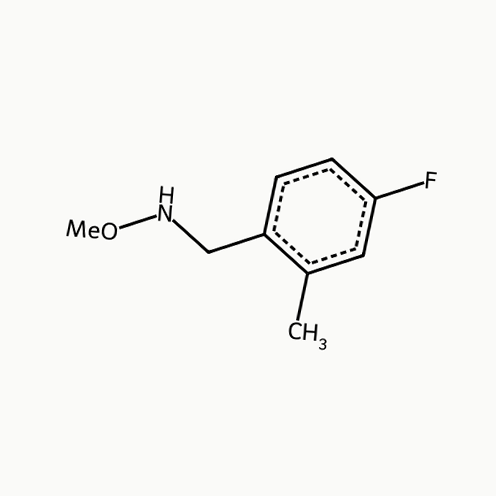 CONCc1ccc(F)cc1C